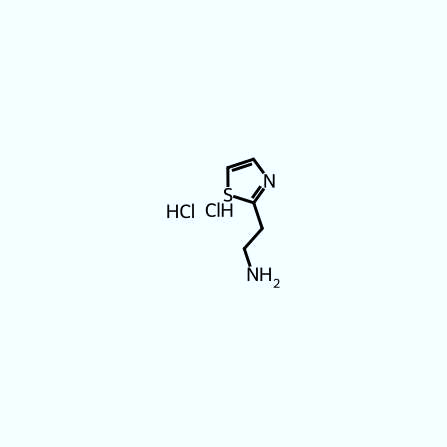 Cl.Cl.NCCc1nccs1